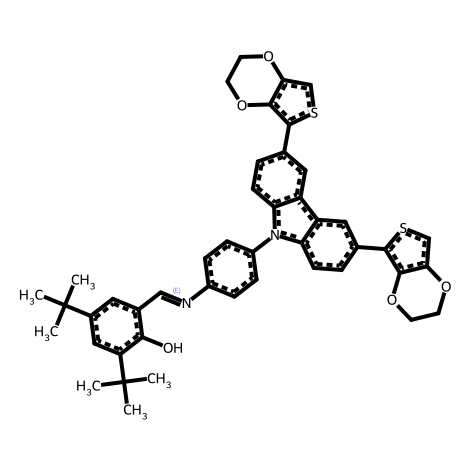 CC(C)(C)c1cc(/C=N/c2ccc(-n3c4ccc(-c5scc6c5OCCO6)cc4c4cc(-c5scc6c5OCCO6)ccc43)cc2)c(O)c(C(C)(C)C)c1